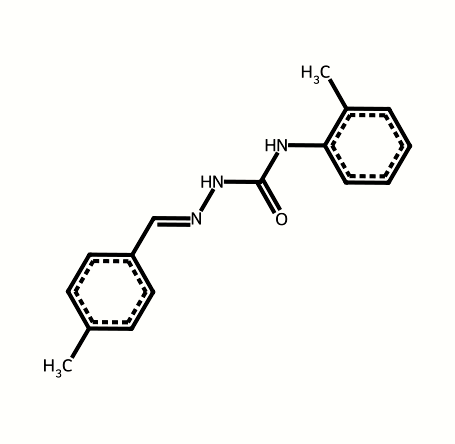 Cc1ccc(/C=N/NC(=O)Nc2ccccc2C)cc1